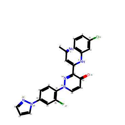 CC(=N)/C=C(\Nc1cccc(Cl)c1)c1nn(-c2ccc(-n3cccn3)cc2F)ccc1=O